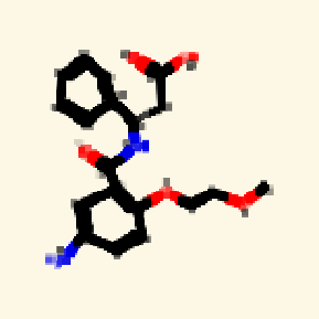 COCCOc1ccc(N)cc1C(=O)N[C@@H](CC(=O)O)c1ccccc1